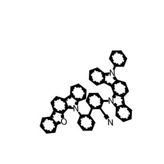 N#Cc1c(-c2ccccc2-n2c3ccccc3c3ccc4c5ccccc5oc4c32)cccc1-n1c2ccccc2c2ccc3c(c4ccccc4n3-c3ccccc3)c21